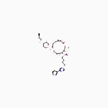 C#CCCN(C)[C@H]1C[C@@H](C)O[C@@H](O[C@@H]2[C@@H](C)C(=O)[C@](C)(I)C(=O)O[C@H](CC)[C@@]3(C)OC(=O)N(CCCCn4cnc(-c5cccnc5)c4)C3[C@@H](C)C(=O)[C@H](C)C[C@@]2(C)OC)[C@@H]1O